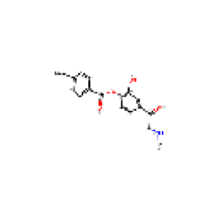 Cc1ccc(C(=O)Oc2ccc(C(=O)CNC(C)C)cc2O)cc1